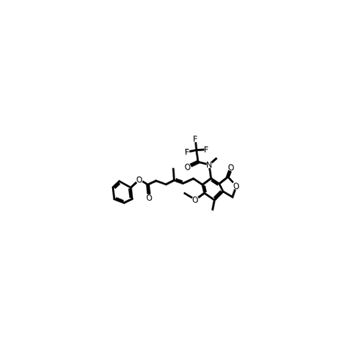 COc1c(C)c2c(c(N(C)C(=O)C(F)(F)F)c1C/C=C(\C)CCC(=O)Oc1ccccc1)C(=O)OC2